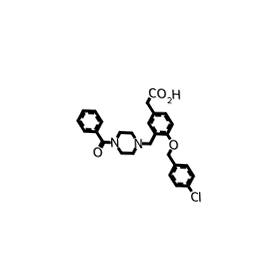 O=C(O)Cc1ccc(OCc2ccc(Cl)cc2)c(CN2CCN(C(=O)c3ccccc3)CC2)c1